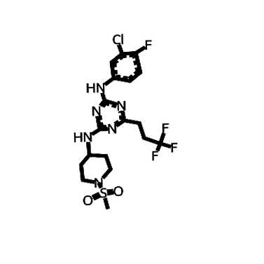 CS(=O)(=O)N1CCC(Nc2nc(CCC(F)(F)F)nc(Nc3ccc(F)c(Cl)c3)n2)CC1